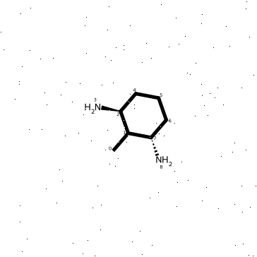 CC1[C@@H](N)CCC[C@@H]1N